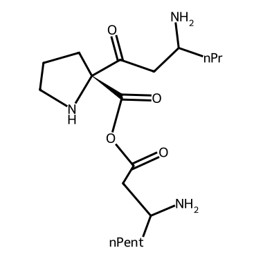 CCCCCC(N)CC(=O)OC(=O)[C@]1(C(=O)CC(N)CCC)CCCN1